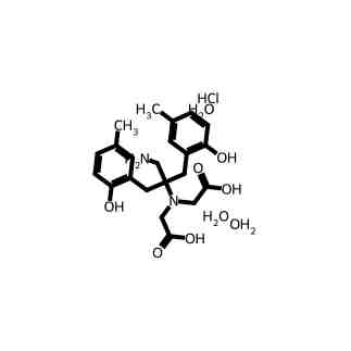 Cc1ccc(O)c(CC(CN)(Cc2cc(C)ccc2O)N(CC(=O)O)CC(=O)O)c1.Cl.O.O.O